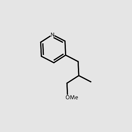 COCC(C)Cc1cccnc1